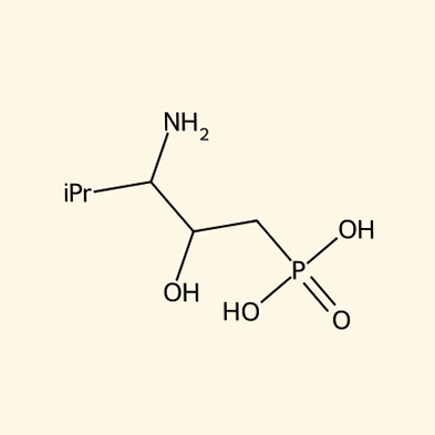 CC(C)C(N)C(O)CP(=O)(O)O